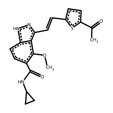 COc1c(C(=O)NC2CC2)ccc2[nH]nc(C=Cc3ccc(C(C)=O)s3)c12